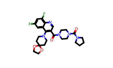 O=C(c1cnc2c(F)cc(F)cc2c1N1CCC2(CC1)OCCO2)N1CCN(C(=O)N2CCCC2)CC1